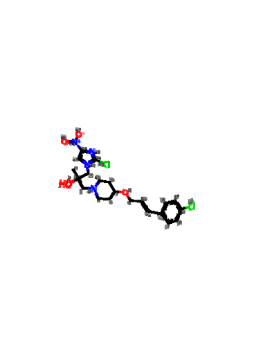 C[C@](O)(CN1CCC(OCC=Cc2ccc(Cl)cc2)CC1)Cn1cc([N+](=O)[O-])nc1Cl